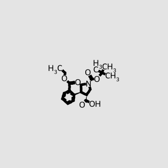 CCOC(=O)c1ccccc1[C@H]1CN(C(=O)OC(C)(C)C)C[C@@H]1C(=O)O